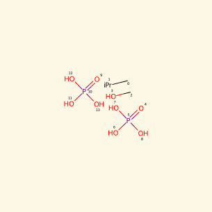 CC(C)C.CO.O=P(O)(O)O.O=P(O)(O)O